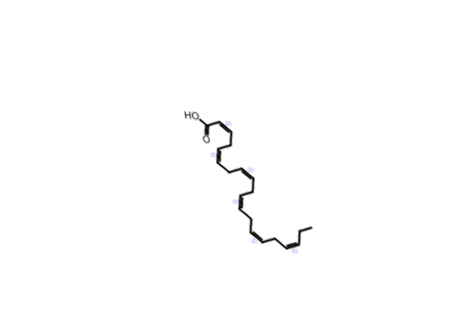 CC/C=C\C/C=C\C/C=C\C/C=C\C/C=C\C/C=C\C(=O)O